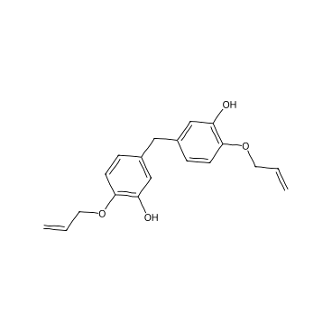 C=CCOc1ccc(Cc2ccc(OCC=C)c(O)c2)cc1O